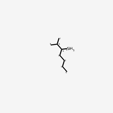 CCCCC([SiH3])C(C)C